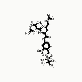 CC(C)[C@H](NC(=O)O)C(=O)N[C@@H](CCCNC(N)=O)C(=O)Nc1ccc(CO[Si](C)(C)C(C)(C)C)c([N+](=O)[O-])c1